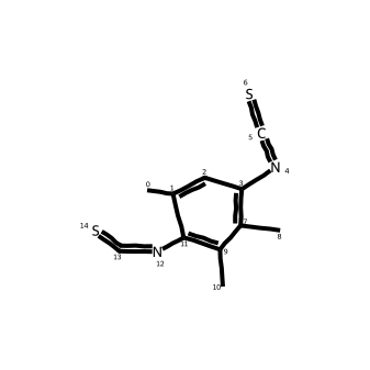 Cc1cc(N=C=S)c(C)c(C)c1N=C=S